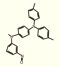 Cc1ccc(N(c2ccc(C)cc2)c2ccc(N(C)c3cccc(N=O)c3)cc2)cc1